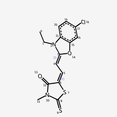 CCN1/C(=C/C=C2/SC(=S)N(C)C2=O)Oc2cc(Cl)ccc21